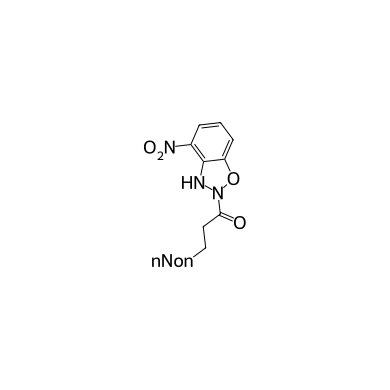 CCCCCCCCCCCC(=O)N1Nc2c(cccc2[N+](=O)[O-])O1